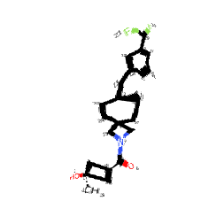 C[C@]1(O)C[C@@H](C(=O)N2CC3(CCC(Cc4cccc(C(F)F)c4)CC3)C2)C1